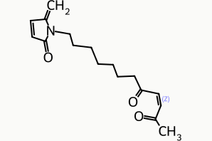 C=C1C=CC(=O)N1CCCCCCCC(=O)/C=C\C(C)=O